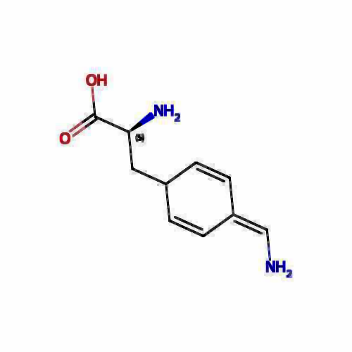 NC=C1C=CC(C[C@H](N)C(=O)O)C=C1